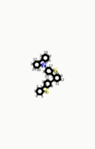 c1ccc2c(c1)sc1cc(-c3cccc4sc5cc(-n6c7ccccc7c7ccccc76)ccc5c34)ccc12